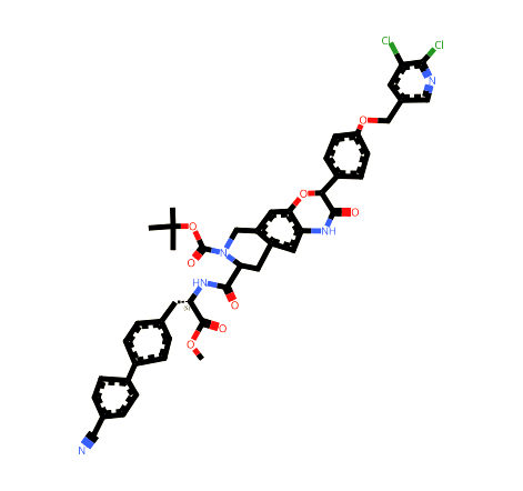 COC(=O)[C@H](Cc1ccc(-c2ccc(C#N)cc2)cc1)NC(=O)C1Cc2cc3c(cc2CN1C(=O)OC(C)(C)C)OC(c1ccc(OCc2cnc(Cl)c(Cl)c2)cc1)C(=O)N3